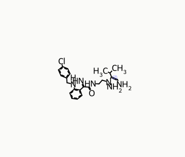 CC(C)/C(=C/N)N(N)CCNC(=O)C(=N)c1ccccc1NCc1ccc(Cl)cc1